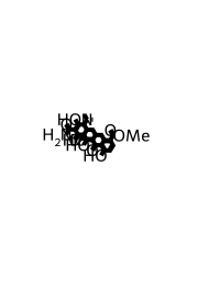 COC(=O)c1ccc(O)c2c1CC1CC3C(N(C)C)C(O)=C(C(N)=O)C(=O)C3(O)C(O)=C1C2=O